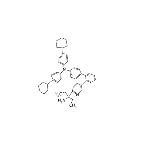 CCC(N)(CC)c1ccc(-c2ccccc2-c2ccc(N(c3ccc(C4CCCCC4)cc3)c3ccc(C4CCCCC4)cc3)nc2)cn1